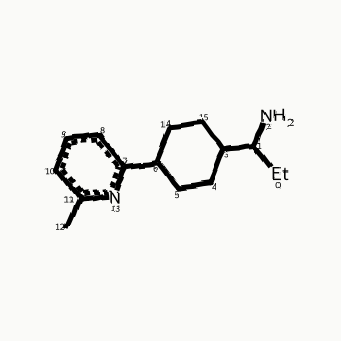 CCC(N)C1CCC(c2cccc(C)n2)CC1